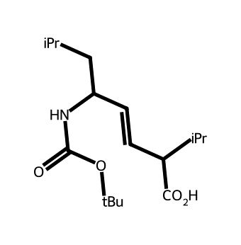 CC(C)CC(C=CC(C(=O)O)C(C)C)NC(=O)OC(C)(C)C